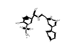 Cc1ccc(C(=O)NCc2cc(-c3ccccc3)cnn2)cc1S(C)(=O)=O